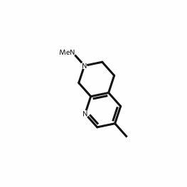 CNN1CCc2cc(C)cnc2C1